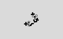 CC(C)(C)OC(=O)N1C[C@@H](CC/C=N\[S+]([O-])C(C)(C)C)CC1(C)C